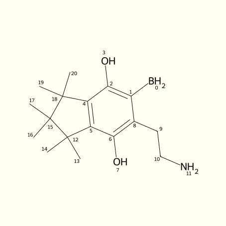 Bc1c(O)c2c(c(O)c1CCN)C(C)(C)C(C)(C)C2(C)C